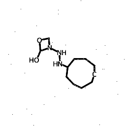 OC1OCN1NNC1CCCCCCCC1